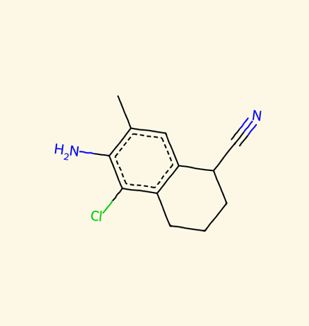 Cc1cc2c(c(Cl)c1N)CCCC2C#N